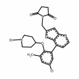 CCN1CCC(Oc2c(C)cc(Cl)cc2-c2ccnc3cc(CN4C(=O)CCC4=O)sc23)CC1